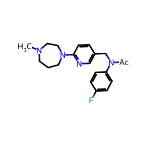 CC(=O)N(Cc1ccc(N2CCCN(C)CC2)nc1)c1ccc(F)cc1